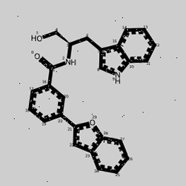 O=C(N[C@@H](CO)Cc1c[nH]c2ccccc12)c1cccc(-c2cc3ccccc3o2)c1